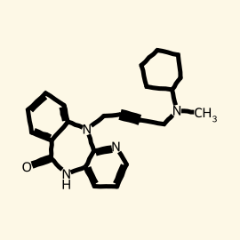 CN(CC#CCN1c2ccccc2C(=O)Nc2cccnc21)C1CCCCC1